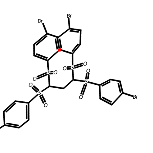 O=S(=O)(c1ccc(Br)cc1)C(CC(S(=O)(=O)c1ccc(Br)cc1)S(=O)(=O)c1ccc(Br)cc1)S(=O)(=O)c1ccc(Br)cc1